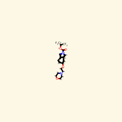 O=C(OC(C(F)(F)F)C(F)(F)F)n1cc2ccc(OCCN3CCOCC3)cc2c1